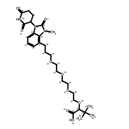 Cn1c(=O)n(C2CCC(=O)NC2=O)c2cccc(CCCOCCOCCOCCOC(C(=O)O)C(C)(C)C)c21